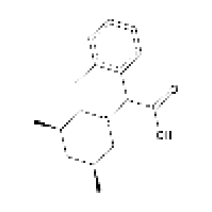 Cc1ccccc1C(C(=O)O)N1C[C@H](C)C[C@H](C)C1